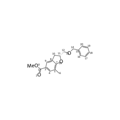 COC(=O)c1cc(C)c2c(c1)C[C@H](COCc1ccccc1)O2